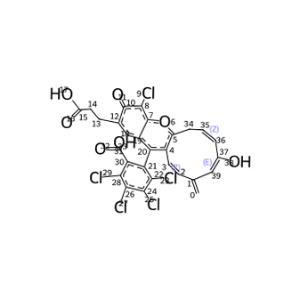 C=C1/C=C\c2c(oc3c(Cl)c(=O)c(CCC(=O)O)cc-3c2-c2c(Cl)c(Cl)c(Cl)c(Cl)c2C(=O)O)C/C=C\C(O)=C/1